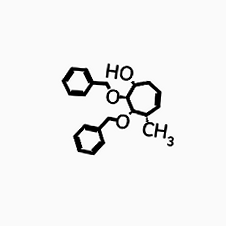 C[C@H]1C=CC[C@H](O)[C@H](OCc2ccccc2)[C@H]1OCc1ccccc1